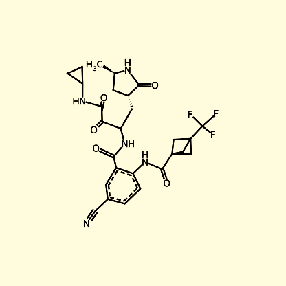 C[C@@H]1C[C@@H](CC(NC(=O)c2cc(C#N)ccc2NC(=O)C23CC(C(F)(F)F)(C2)C3)C(=O)C(=O)NC2CC2)C(=O)N1